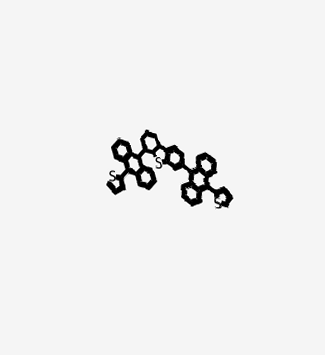 C1=CC2c3ccc(-c4c5ccccc5c(-c5cccs5)c5ccccc45)cc3SC2C(c2c3ccccc3c(-c3cccs3)c3ccccc23)=C1